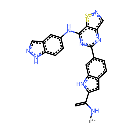 C=C(NC(C)C)c1cc2ccc(-c3nc(Nc4ccc5[nH]ncc5c4)c4sncc4n3)cc2[nH]1